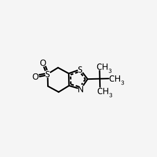 CC(C)(C)c1nc2c(s1)CS(=O)(=O)CC2